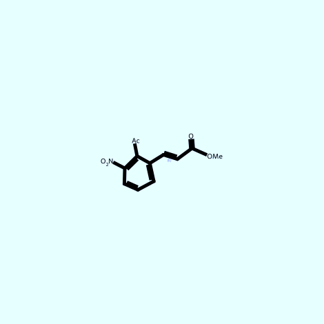 COC(=O)/C=C/c1cccc([N+](=O)[O-])c1C(C)=O